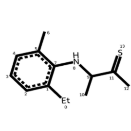 CCc1cccc(C)c1NC(C)C(C)=S